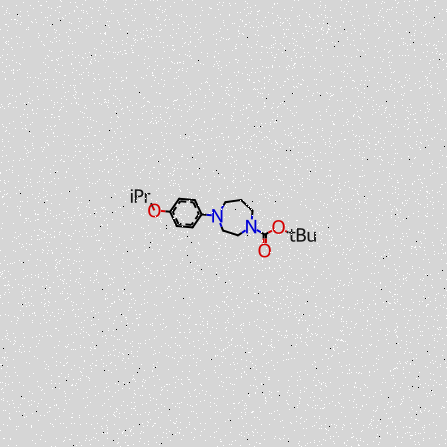 CC(C)Oc1ccc(N2CCCN(C(=O)OC(C)(C)C)CC2)cc1